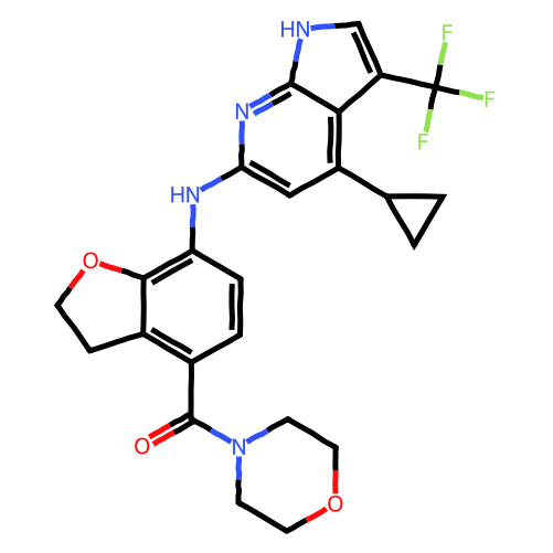 O=C(c1ccc(Nc2cc(C3CC3)c3c(C(F)(F)F)c[nH]c3n2)c2c1CCO2)N1CCOCC1